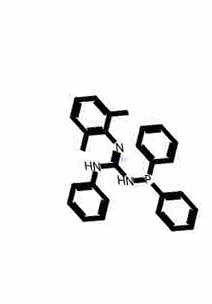 Cc1cccc(C)c1/N=C(\Nc1ccccc1)NP(c1ccccc1)c1ccccc1